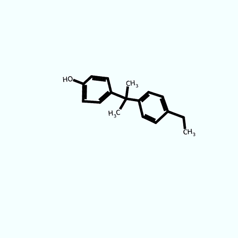 CCc1ccc(C(C)(C)c2ccc(O)cc2)cc1